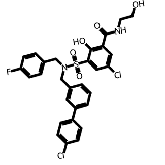 O=C(NCCO)c1cc(Cl)cc(S(=O)(=O)N(Cc2ccc(F)cc2)Cc2cccc(-c3ccc(Cl)cc3)c2)c1O